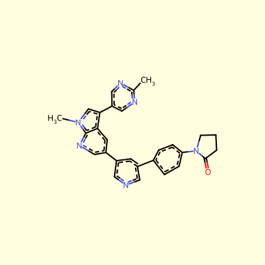 Cc1ncc(-c2cn(C)c3ncc(-c4cncc(-c5ccc(N6CCCC6=O)cc5)c4)cc23)cn1